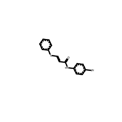 CC(C)c1ccc(NC(=O)C=CSc2ccccc2)cc1